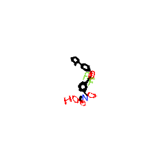 Cc1ccccc1-c1ccc(OC(F)(F)c2cccc(C(=O)N(C)CC(=O)O)c2)cc1